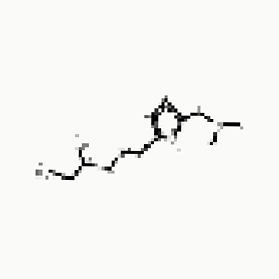 CN(C)Cc1ccc(CSCC(O)CN)o1